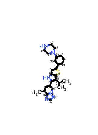 Cc1cc(-c2[nH]c3cc(-c4cccc(N5CCNCC5)c4)sc3c2C(C)C)cn2ncnc12